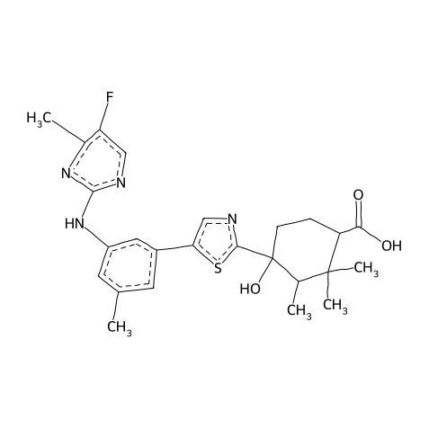 Cc1cc(Nc2ncc(F)c(C)n2)cc(-c2cnc(C3(O)CCC(C(=O)O)C(C)(C)C3C)s2)c1